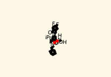 CC(C)CC1(C(CCN2Cc3cc(F)c(F)cc3C2=O)C(=O)NO)CCN(CCc2ccccc2)C1=O